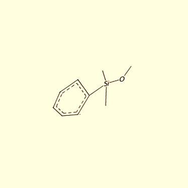 CO[Si](C)(C)c1[c]cccc1